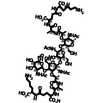 CC(=O)N[C@H]1[C@H](OC2[C@@H](CO)O[C@@H](C)[C@H](NC(C)=O)[C@H]2O[C@H](C)C(=O)N[C@@H](C)C(=O)N[C@H](CCC(=O)N[C@@H](CCCCN)C(=O)O)C(=O)O)O[C@H](CO)[C@@H](O[C@@H]2O[C@H](CO)C(O[C@@H]3O[C@H](CO)[C@@H](O)[C@H](O)[C@H]3NC(C)=O)[C@H](O[C@H](C)C(=O)N[C@@H](C)C(=O)N[C@H](CCC(=O)N[C@@H](CCCCN)C(=O)O)C(=O)O)[C@H]2NC(C)=O)[C@@H]1O